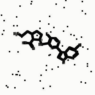 CCCC1CC[C@@H](Nc2nc(-c3c[nH]c4ncc(Cl)cc34)ncc2F)C1C(=O)O